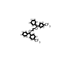 FC(F)(F)c1ccc(C(OCCOC(c2ccccc2)c2ccc(C(F)(F)F)cc2)c2ccccc2)cc1